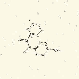 C=C(C(=O)c1ccc(SC)cc1)c1ccccc1